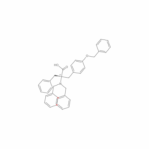 O=C(O)[C@](Cc1ccccc1)(Cc1ccc(OCc2ccccc2)cc1)N(Cc1ccccc1)Cc1ccccc1